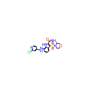 NC(=O)c1[nH]c2c(NCc3ccnc(Cl)c3)cccc2c1S(=O)(=O)N1CCOCC1